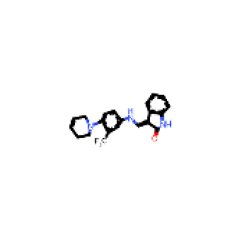 O=C1Nc2ccccc2/C1=C\Nc1ccc(N2CC=CCC2)c(C(F)(F)F)c1